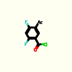 CC(=O)c1cc(C(=O)Cl)c(F)cc1F